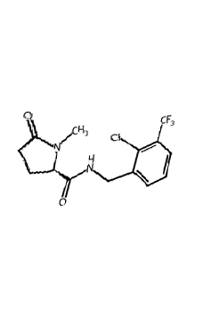 CN1C(=O)CC[C@@H]1C(=O)NCc1cccc(C(F)(F)F)c1Cl